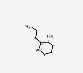 Br.CCC[C@H]1CCCCN1